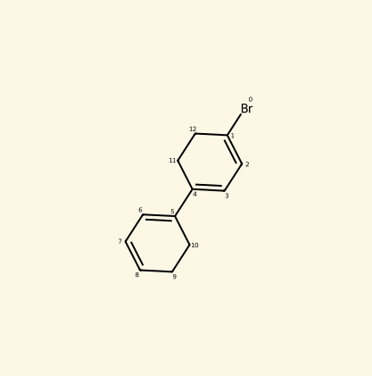 BrC1=CC=C(C2=CC=CCC2)CC1